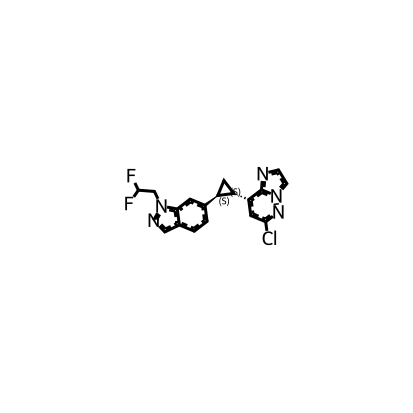 FC(F)Cn1ncc2ccc([C@H]3C[C@@H]3c3cc(Cl)nn4ccnc34)cc21